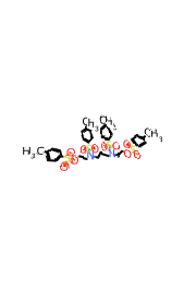 Cc1ccc(S(=O)(=O)OCCN(CCCN(CCOS(=O)(=O)c2ccc(C)cc2)S(=O)(=O)c2ccc(C)cc2)S(=O)(=O)c2ccc(C)cc2)cc1